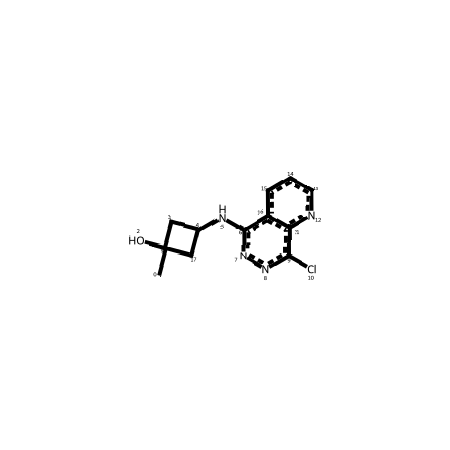 CC1(O)CC(Nc2nnc(Cl)c3ncccc23)C1